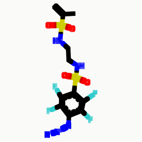 C=C(C)S(=O)(=O)NCCNS(=O)(=O)c1c(F)c(F)c(N=[N+]=[N-])c(F)c1F